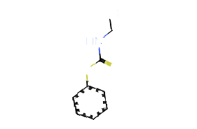 CCNC(=S)Sc1ccccc1